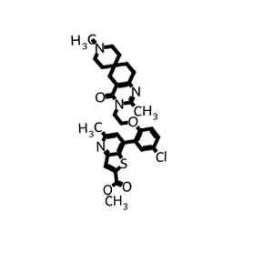 COC(=O)c1cc2nc(C)cc(-c3cc(Cl)ccc3OCCn3c(C)nc4c(c3=O)CC3(CC4)CCN(C)CC3)c2s1